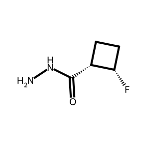 NNC(=O)[C@@H]1CC[C@@H]1F